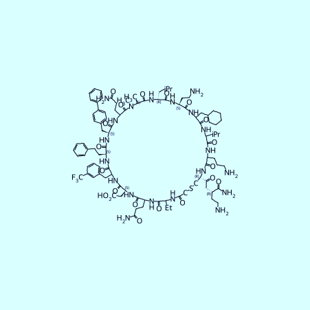 CCC1NC(=O)CSC[C@@H](C(=O)C[C@@H](CCN)C(N)=O)NC(=O)C(CCCN)NC(=O)C(C(C)C)NC(=O)C(CC2CCCCC2)NC(=O)[C@H](CCN)NC(=O)[C@@H](CC(C)C)NC(=O)[C@H](C)N(C)C(=O)C(CCC(N)=O)NC(=O)[C@H](Cc2ccc(-c3ccccc3)cc2)NC(=O)[C@H](CCc2ccccc2)NC(=O)C(Cc2cccc(C(F)(F)F)c2)NC(=O)[C@H](CC(=O)O)NC(=O)C(CCC(N)=O)NC1=O